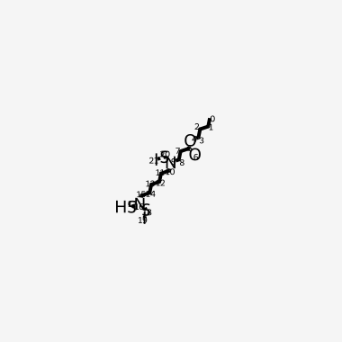 CCCCOC(=O)CCN(CCCCCCN(S)SI)SI